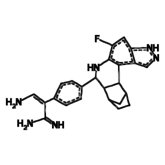 N=C(N)/C(=C\N)c1ccc(C2Nc3c(F)cc4[nH]ncc4c3C3C4CCC(C4)C23)cc1